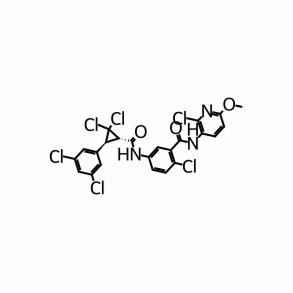 COc1ccc(NC(=O)c2cc(NC(=O)[C@@H]3[C@@H](c4cc(Cl)cc(Cl)c4)C3(Cl)Cl)ccc2Cl)c(Cl)n1